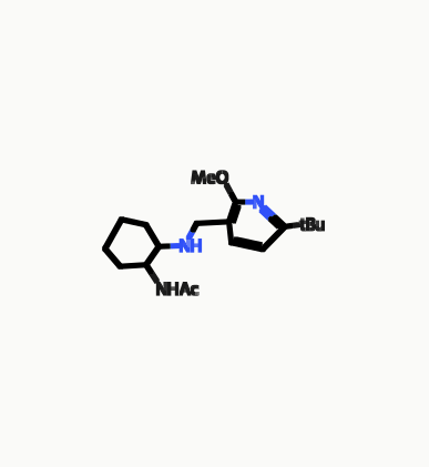 COc1nc(C(C)(C)C)ccc1CNC1CCCCC1NC(C)=O